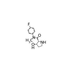 CN(C(=O)[C@H]1NCC[C@H]1O)c1ccc(F)cc1